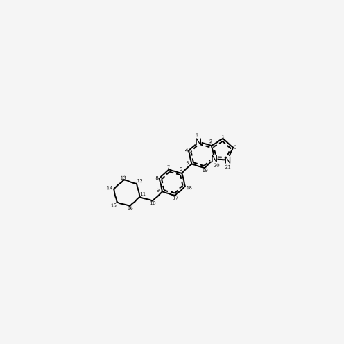 c1cc2ncc(-c3ccc(CC4CCCCC4)cc3)cn2n1